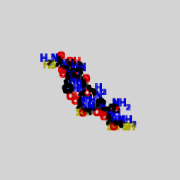 C[C@H](NC(=O)[C@@H]1CCCN1C(=O)[C@H](CC(N)=O)NC(=O)[C@H](CS)NC(=O)[C@@H](N)CS)C(=O)N[C@@H](CS)C(=O)NCC(=O)N[C@@H](CCCCN)C(=O)N[C@@H](Cc1c[nH]cn1)C(=O)N[C@@H](Cc1ccc(O)cc1)C(=O)N[C@@H](CO)C(=O)N[C@@H](CS)C(N)=O